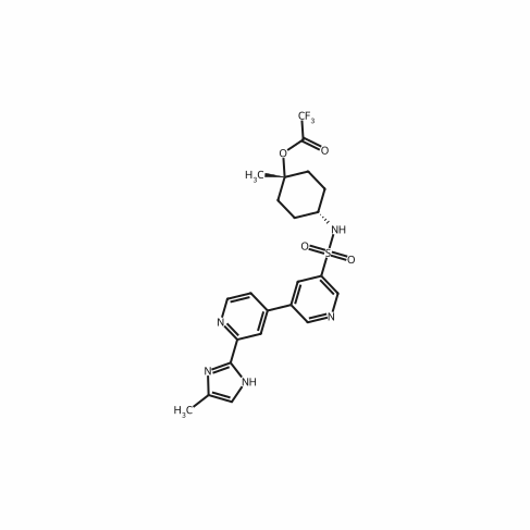 Cc1c[nH]c(-c2cc(-c3cncc(S(=O)(=O)N[C@H]4CC[C@@](C)(OC(=O)C(F)(F)F)CC4)c3)ccn2)n1